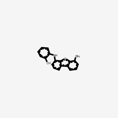 Cc1ccccc1Nc1cccc2c1sc1c(C(C)(C)C)cccc12